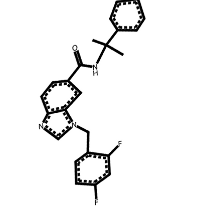 CC(C)(NC(=O)c1ccc2ncn(Cc3ccc(F)cc3F)c2c1)c1ccccc1